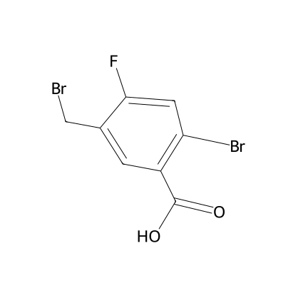 O=C(O)c1cc(CBr)c(F)cc1Br